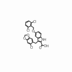 O=C(O)c1[nH]c2ccc(OCc3c(Cl)cccc3Cl)cc2c1Cc1cc2c(cc1Cl)OCO2